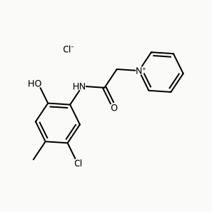 Cc1cc(O)c(NC(=O)C[n+]2ccccc2)cc1Cl.[Cl-]